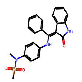 CN(c1ccc(N/C(=C2\C(=O)Nc3ccccc32)c2ccccc2)cc1)S(C)(=O)=O